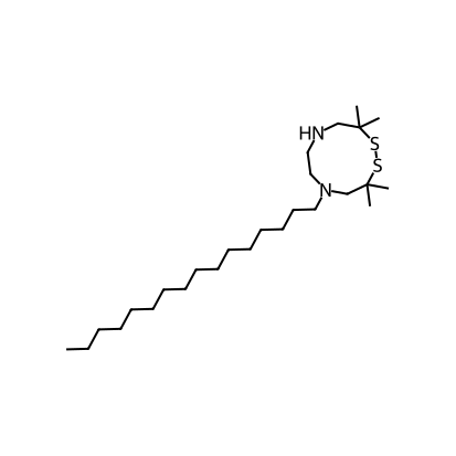 CCCCCCCCCCCCCCCCN1CCNCC(C)(C)SSC(C)(C)C1